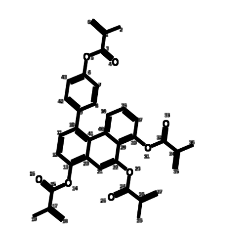 C=C(C)C(=O)Oc1ccc(-c2ccc(OC(=O)C(=C)C)c3cc(OC(=O)C(=C)C)c4c(OC(=O)C(=C)C)cccc4c23)cc1